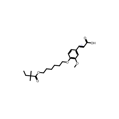 CCC(C)(C)C(=O)OCCCCCCOc1ccc(/C=C/C(=O)O)cc1OC